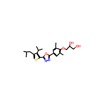 Cc1cc(-c2nnc(-c3scc(CC(C)C)c3C(C)C)o2)cc(C)c1OCC(O)CO